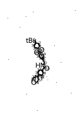 CC(C)(C)c1ccc(S(=O)(=O)N2CC3C(CNC(=O)c4ccc(N5CCOCC5)c(F)c4)C3C2)cc1